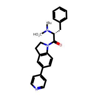 CC(C)(C)N(C(=O)O)[C@H](Cc1ccccc1)C(=O)N1CCc2cc(-c3ccncc3)ccc21